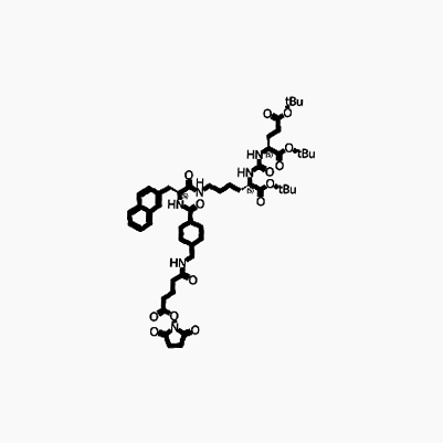 CC(C)(C)OC(=O)CC[C@H](NC(=O)N[C@@H](CCCCNC(=O)[C@H](Cc1ccc2ccccc2c1)NC(=O)C1CCC(CNC(=O)CCCC(=O)ON2C(=O)CCC2=O)CC1)C(=O)OC(C)(C)C)C(=O)OC(C)(C)C